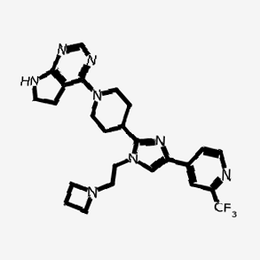 FC(F)(F)c1cc(-c2cn(CCN3CCC3)c(C3CCN(c4ncnc5c4CCN5)CC3)n2)ccn1